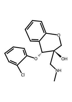 CNC[C@@]1(O)COc2ccccc2[C@H]1Oc1ccccc1Cl